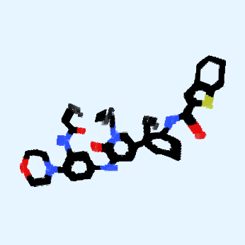 C=CC(=O)Nc1cc(Nc2cc(-c3cccc(NC(=O)c4cc5c(s4)CCCC5)c3C)cn(C)c2=O)ccc1N1CCOCC1